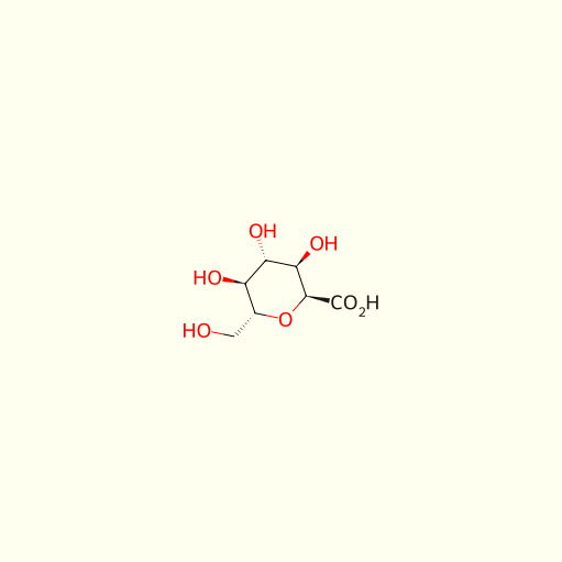 O=C(O)[C@H]1O[C@H](CO)[C@@H](O)[C@H](O)[C@H]1O